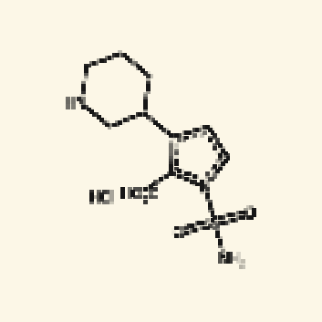 Cl.NS(=O)(=O)n1ccc(C2CCCNC2)c1C(=O)O